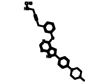 CN1CCN(c2ccc(-c3cc4c(Oc5cccc(CC#CCNC=O)c5)ncnc4[nH]3)cc2)CC1